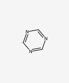 [c]1n[c]ncn1